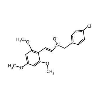 COc1cc(OC)c(C=C[S+]([O-])Cc2ccc(Cl)cc2)c(OC)c1